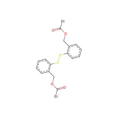 CCC(=O)OCc1ccccc1SSc1ccccc1COC(=O)CC